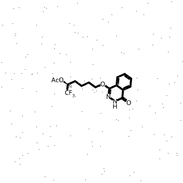 CC(=O)O[C@@H](CCCCOc1n[nH]c(=O)c2ccccc12)C(F)(F)F